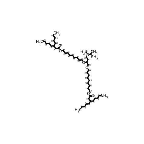 CCCCCC(CCCCC)CC(=O)OCCCCCCCCCOCC(CCN(C)C(C)C)OCCCCCCCCCOC(=O)CC(CCCCC)CCCCC